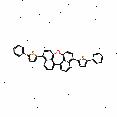 c1ccc(-c2ccc(-c3ccc4oc5ccc(-c6ccc(-c7ccccc7)s6)c6cccc(c7cccc3c47)c56)s2)cc1